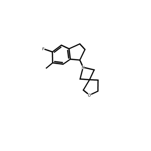 Cc1cc2c(cc1F)CCC2N1CC2(CCOC2)C1